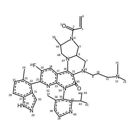 C=CC(=O)N1CC2CN(CCCN(C)C)c3c(c4cc(F)c(-c5c(C)ccc6[nH]ncc56)nc4n(-c4c(C)ccnc4C(C)C)c3=O)N2CC1C